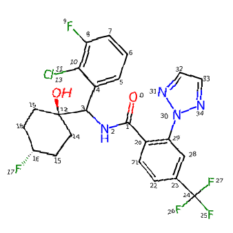 O=C(NC(c1cccc(F)c1Cl)[C@]1(O)CC[C@H](F)CC1)c1ccc(C(F)(F)F)cc1-n1nccn1